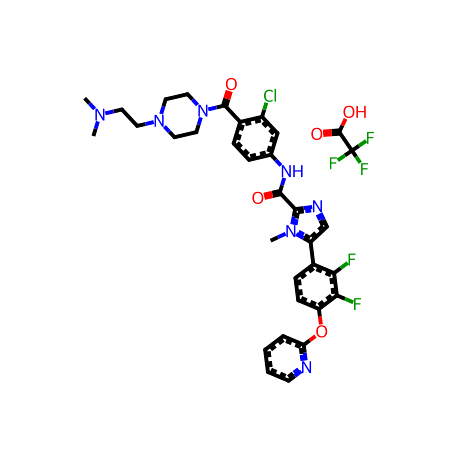 CN(C)CCN1CCN(C(=O)c2ccc(NC(=O)c3ncc(-c4ccc(Oc5ccccn5)c(F)c4F)n3C)cc2Cl)CC1.O=C(O)C(F)(F)F